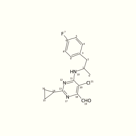 CC(Cc1ccc(F)cc1)Nc1nc(C2CC2)nc(C=O)c1Cl